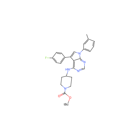 Cc1cccc(-n2cc(-c3ccc(F)cc3)c3c(NC4CCN(C(=O)OC(C)(C)C)CC4)ncnc32)c1